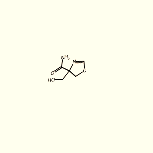 NC(=O)C1(CO)COC=N1